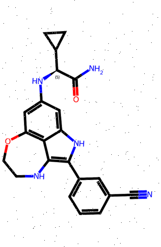 N#Cc1cccc(-c2[nH]c3cc(N[C@H](C(N)=O)C4CC4)cc4c3c2NCCO4)c1